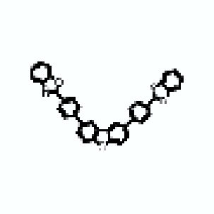 c1ccc2oc(-c3ccc(-c4ccc5sc6ccc(-c7ccc(-c8nc9ccccc9s8)cc7)cc6c5c4)cc3)nc2c1